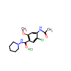 COc1cc(NC(C)=O)c(Cl)cc1C(=O)NN1CCCCC1.Cl